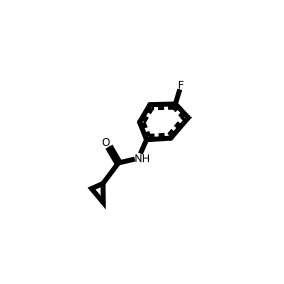 O=C(Nc1c[c]c(F)cc1)C1CC1